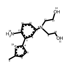 Cc1ccc(-c2cc(N(CCO)CCO)ccc2N)s1